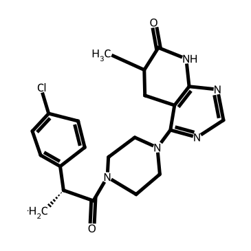 [CH2][C@@H](C(=O)N1CCN(c2ncnc3c2CC(C)C(=O)N3)CC1)c1ccc(Cl)cc1